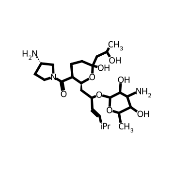 CC(C)/C=C/C(C[C@@H]1OC(O)(CC(C)O)CCC1C(=O)N1CC[C@H](N)C1)OC1OC(C)C(O)C(N)C1O